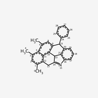 Cc1cc(C)c2c(C)cc3c4c2c1CC1=Nc2cccc(c2C14)C3c1ccccc1